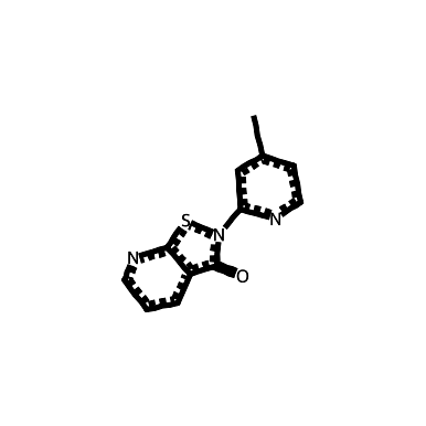 Cc1ccnc(-n2sc3ncccc3c2=O)c1